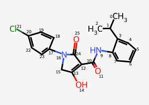 CC(C)c1ccccc1NC(=O)C1=C(O)CN(c2ccc(Cl)cc2)C1=O